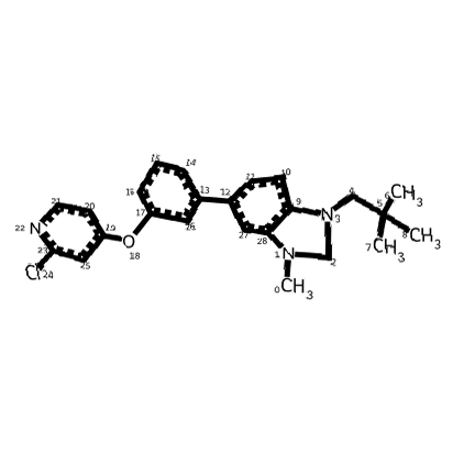 CN1CN(CC(C)(C)C)c2ccc(-c3cccc(Oc4ccnc(Cl)c4)c3)cc21